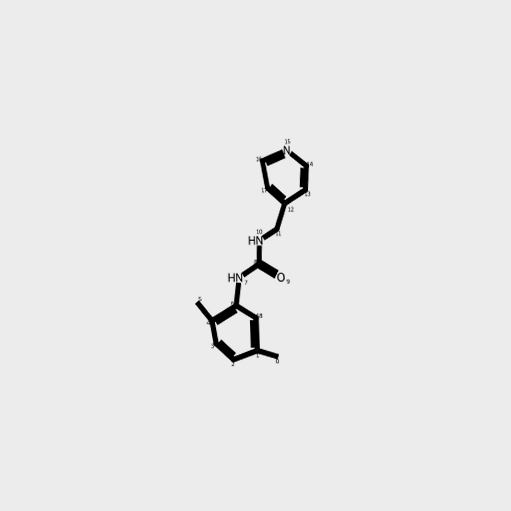 Cc1ccc(C)c(NC(=O)NCc2ccncc2)c1